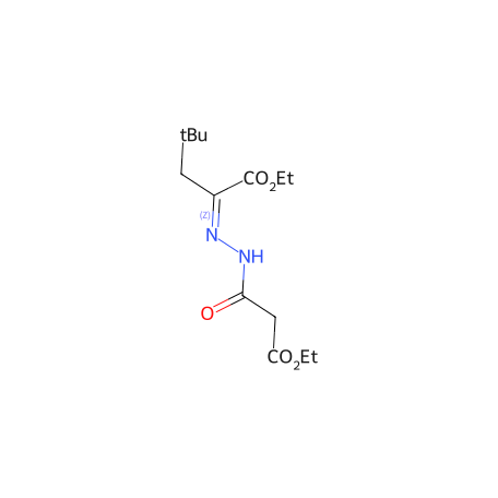 CCOC(=O)CC(=O)N/N=C(/CC(C)(C)C)C(=O)OCC